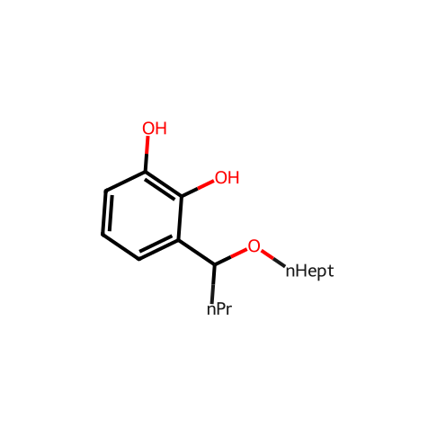 CCCCCCCOC(CCC)c1cccc(O)c1O